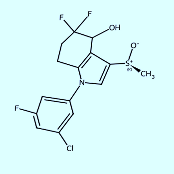 C[S@+]([O-])c1cn(-c2cc(F)cc(Cl)c2)c2c1C(O)C(F)(F)CC2